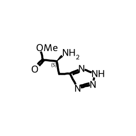 COC(=O)[C@@H](N)Cc1nn[nH]n1